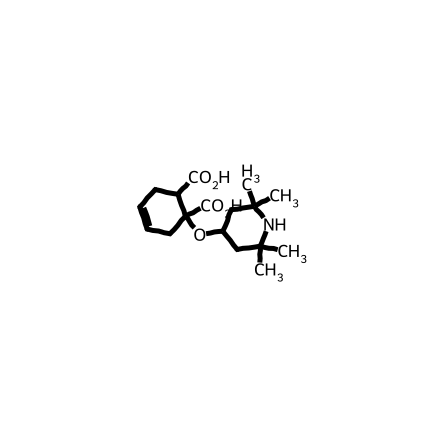 CC1(C)CC(OC2(C(=O)O)CC=CCC2C(=O)O)CC(C)(C)N1